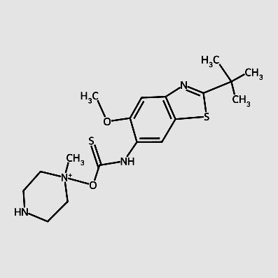 COc1cc2nc(C(C)(C)C)sc2cc1NC(=S)O[N+]1(C)CCNCC1